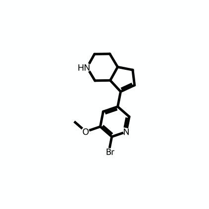 COc1cc(C2=CCC3CCNCC23)cnc1Br